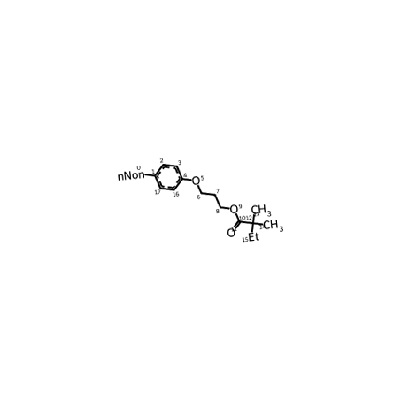 CCCCCCCCCc1ccc(OCCCOC(=O)C(C)(C)CC)cc1